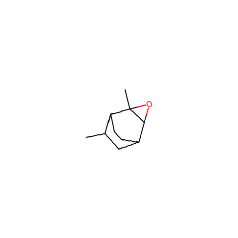 CC1CC2CCC1C1(C)OC21